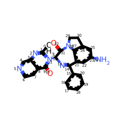 Cc1nc2cnccc2c(=O)n1[C@@H]1N=C(c2ccccc2)c2cc(N)cc3c2N(CC3)C1=O